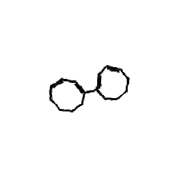 C1=CCCCCC(C2=CC=CCCCC2)=C1